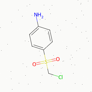 Nc1ccc(S(=O)(=O)CCl)cc1